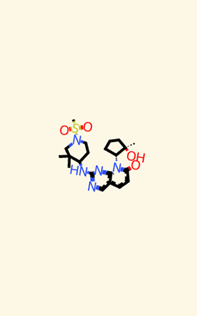 CC1(C)CN(S(C)(=O)=O)CCC1Nc1ncc2ccc(=O)n([C@@H]3CCC[C@@]3(C)O)c2n1